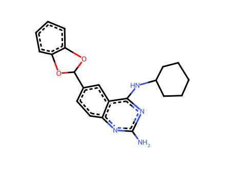 Nc1nc(NC2CCCCC2)c2cc(C3Oc4ccccc4O3)ccc2n1